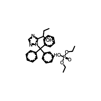 CCC(O)c1ncnn1C(c1ccccc1)(c1ccccc1)c1ccccc1.CCOP(=O)(O)OCC